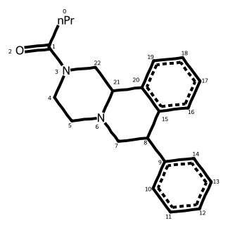 CCCC(=O)N1CCN2CC(c3ccccc3)c3ccccc3C2C1